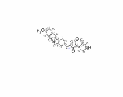 O=C1S/C(=C\c2ccc3c(cnn3Cc3ccc(C(F)(F)F)cc3C(F)(F)F)c2)C(=O)N1[C@H]1CCNC[C@@H]1F